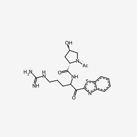 CC(=O)N1C[C@H](O)C[C@H]1C(=O)NC(CCCNC(=N)N)C(=O)c1nc2ccccc2s1